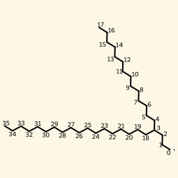 [CH2]CCC(CCCCCCCCCCCCCC)CCCCCCCCCCCCCCCCCC